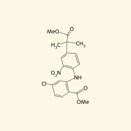 COC(=O)c1ccc(Cl)cc1Nc1ccc(C(C)(C)C(=O)OC)cc1[N+](=O)[O-]